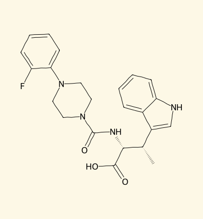 C[C@@H](c1c[nH]c2ccccc12)[C@@H](NC(=O)N1CCN(c2ccccc2F)CC1)C(=O)O